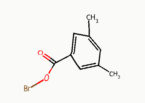 Cc1cc(C)cc(C(=O)OBr)c1